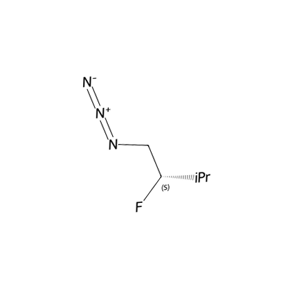 CC(C)[C@H](F)CN=[N+]=[N-]